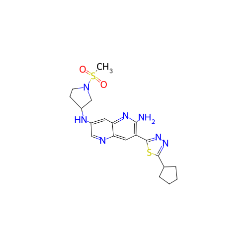 CS(=O)(=O)N1CCC(Nc2cnc3cc(-c4nnc(C5CCCC5)s4)c(N)nc3c2)C1